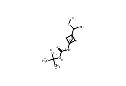 COC(O)C12CC(NC(=O)OC(C)(C)C)(C1)C2